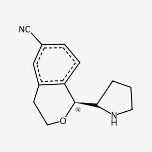 N#Cc1ccc2c(c1)CCO[C@@H]2C1CCCN1